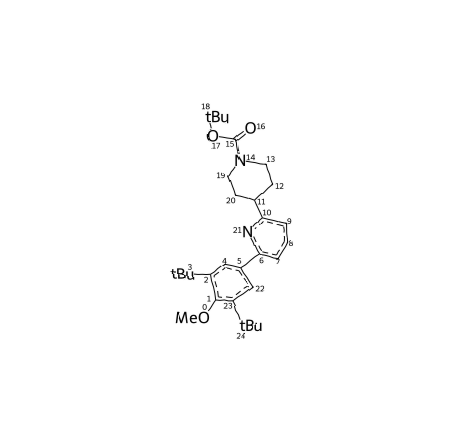 COc1c(C(C)(C)C)cc(-c2cccc(C3CCN(C(=O)OC(C)(C)C)CC3)n2)cc1C(C)(C)C